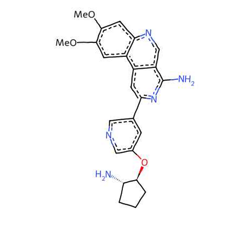 COc1cc2ncc3c(N)nc(-c4cncc(O[C@H]5CCC[C@@H]5N)c4)cc3c2cc1OC